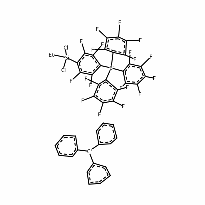 CC[Si](Cl)(Cl)c1c(F)c(F)c([B-](c2c(F)c(F)c(F)c(F)c2F)(c2c(F)c(F)c(F)c(F)c2F)c2c(F)c(F)c(F)c(F)c2F)c(F)c1F.c1ccc([C+](c2ccccc2)c2ccccc2)cc1